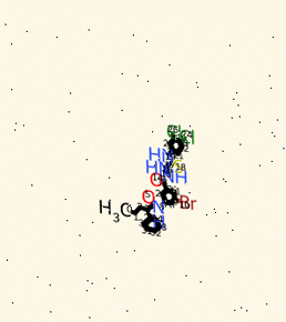 CCCC(C(=O)Nc1cc(Br)cc(C(=O)NNC(=S)Nc2ccc(Cl)c(Cl)c2)c1)c1ccccc1